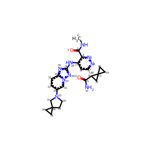 CNC(=O)c1nnc([C@@]2(C(N)=O)CC23CC3)cc1Nc1nc2ccc(N3CCC4(CC4)C3)cn2n1